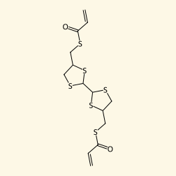 C=CC(=O)SCC1CSC(C2SCC(CSC(=O)C=C)S2)S1